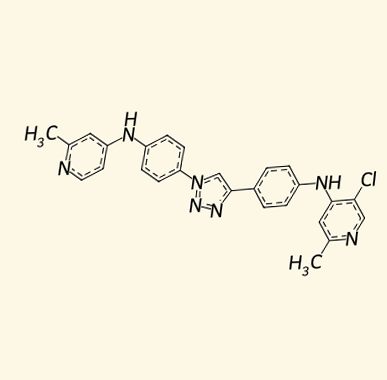 Cc1cc(Nc2ccc(-n3cc(-c4ccc(Nc5cc(C)ncc5Cl)cc4)nn3)cc2)ccn1